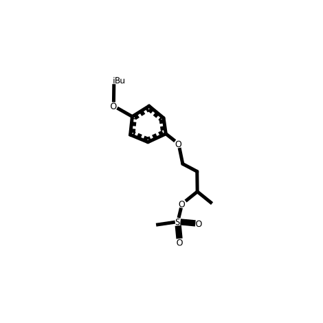 CCC(C)Oc1ccc(OCCC(C)OS(C)(=O)=O)cc1